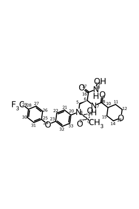 CS(=O)(=O)N(C[C@H](NC(=O)C1CCOCC1)C(=O)NO)c1ccc(Oc2ccc(C(F)(F)F)cc2)cc1